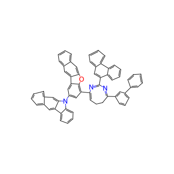 C1=C(c2cc(-n3c4ccccc4c4cc5ccccc5cc43)cc3c2oc2cc4ccccc4cc23)/N=C(c2cc3ccccc3c3ccccc23)\N=C(\c2cccc(-c3ccccc3)c2)CC\1